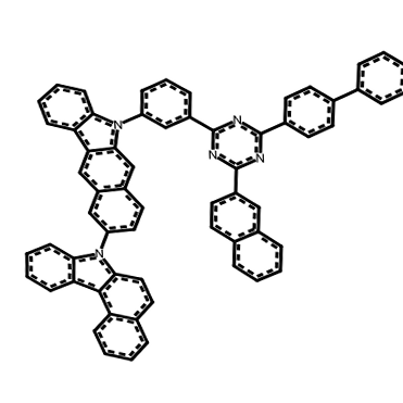 c1ccc(-c2ccc(-c3nc(-c4cccc(-n5c6ccccc6c6cc7cc(-n8c9ccccc9c9c%10ccccc%10ccc98)ccc7cc65)c4)nc(-c4ccc5ccccc5c4)n3)cc2)cc1